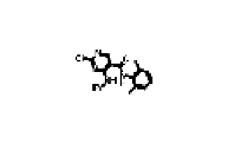 Cc1cccc(C)c1NC(=O)c1cnc(Cl)nc1NC(C)C